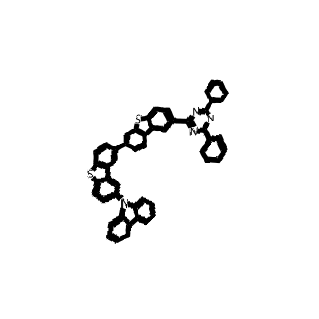 c1ccc(-c2nc(-c3ccccc3)nc(-c3ccc4sc5cc(-c6ccc7sc8ccc(-n9c%10ccccc%10c%10ccccc%109)cc8c7c6)ccc5c4c3)n2)cc1